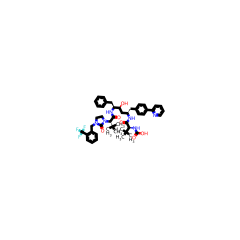 CC(C)(C)[C@H](NC(=O)O)C(=O)N[C@@H](Cc1ccc(-c2ccccn2)cc1)C[C@H](O)[C@H](Cc1ccccc1)NC(=O)[C@@H](N1CCN(Cc2ccccc2C(F)(F)F)C1=O)C(C)(C)C